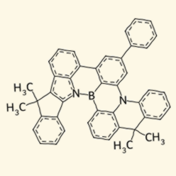 CC1(C)c2ccccc2N2c3cc(-c4ccccc4)cc4c3B(c3cccc1c32)n1c2c(c3cccc-4c31)C(C)(C)c1ccccc1-2